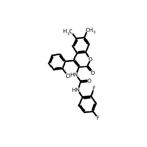 Cc1cc2oc(=O)c(NC(=O)Nc3ccc(F)cc3F)c(-c3ccccc3Cl)c2cc1C